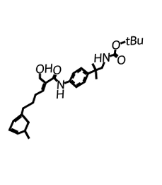 CC1C=CC=C(CCC/C=C(\CO)C(=O)Nc2ccc(C(C)(C)CNC(=O)OC(C)(C)C)cc2)C1